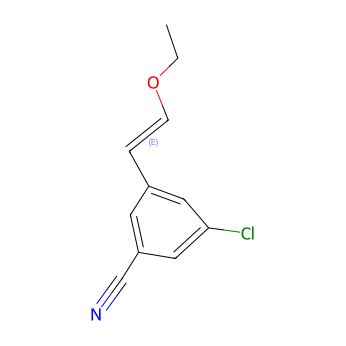 CCO/C=C/c1cc(Cl)cc(C#N)c1